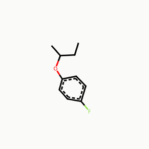 CCC(C)Oc1ccc(F)cc1